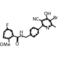 COc1ccc(F)cc1C(=O)NCc1ccc(-c2nc(C)c(Br)c(O)c2C#N)cc1